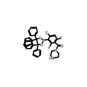 O=C(c1c(F)cc(F)c(B2OC(c3ccccc3)(c3ccccc3)C(c3ccccc3)(c3ccccc3)O2)c1F)N1CCNCC1